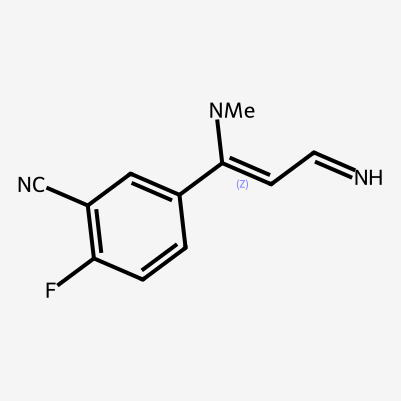 CN/C(=C\C=N)c1ccc(F)c(C#N)c1